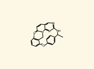 CC(Nc1ncc2ccc(=O)n(Cc3c(F)cccc3F)c2n1)c1ccc(Cl)cc1